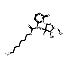 CCCCCCCOC(=O)Nc1ccnc(=O)n1[C@@H]1O[C@H](CO)[C@@H](O)C1(F)F